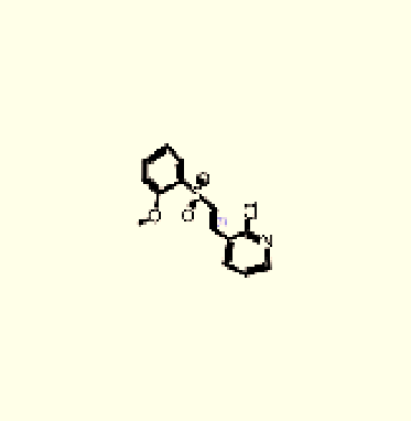 COc1ccccc1S(=O)(=O)/C=C/c1cccnc1Cl